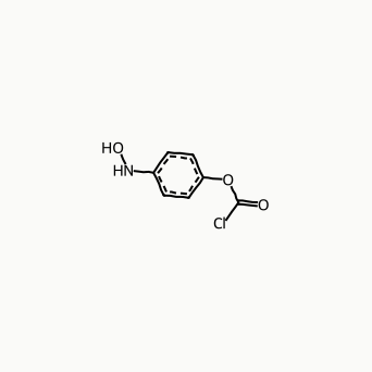 O=C(Cl)Oc1ccc(NO)cc1